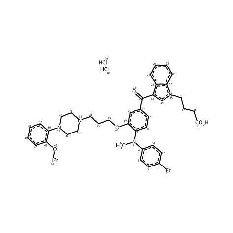 CCc1ccc(N(C)c2ccc(C(=O)c3cn(CCCC(=O)O)c4ccccc34)cc2OCCCN2CCN(c3ccccc3OC(C)C)CC2)cc1.Cl.Cl